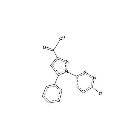 O=C(O)c1cc(-c2ccccc2)n(-c2ccc(Cl)nn2)n1